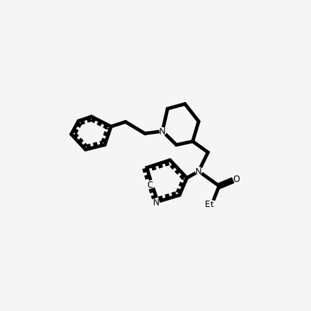 CCC(=O)N(CC1CCCN(CCc2ccccc2)C1)c1cccnc1